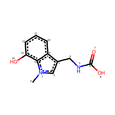 Cn1cc(CNC(=O)O)c2cccc(O)c21